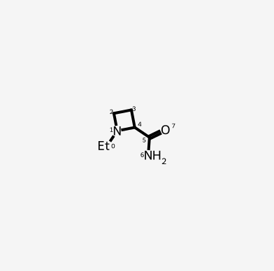 CCN1CCC1C(N)=O